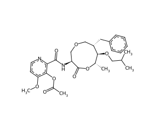 COc1ccnc(C(=O)N[C@H]2COC[C@H](Cc3ccccc3)[C@@H](OCC(C)C)[C@H](C)OC2=O)c1OC(C)=O